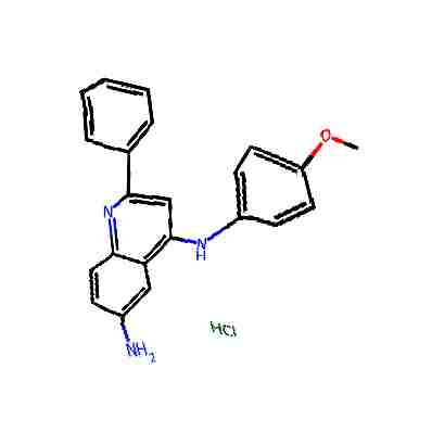 COc1ccc(Nc2cc(-c3ccccc3)nc3ccc(N)cc23)cc1.Cl